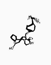 N=C(N)c1ccc(OCCCC(CC(=O)O)(c2ccccc2)N2CCNC(=O)C2=O)cc1